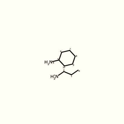 CCCN.NC1CCCCC1